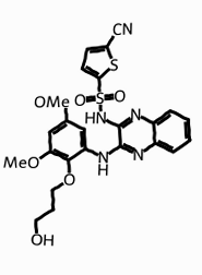 COc1cc(Nc2nc3ccccc3nc2NS(=O)(=O)c2ccc(C#N)s2)c(OCCCO)c(OC)c1